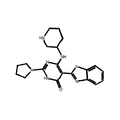 O=c1[nH]c(N2CCCC2)nc(NC2CCCNC2)c1-c1nc2ccccc2s1